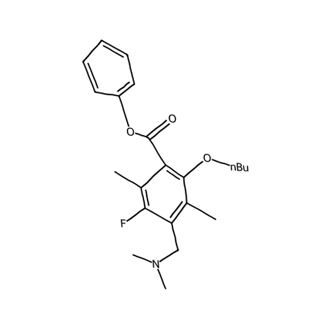 CCCCOc1c(C)c(CN(C)C)c(F)c(C)c1C(=O)Oc1ccccc1